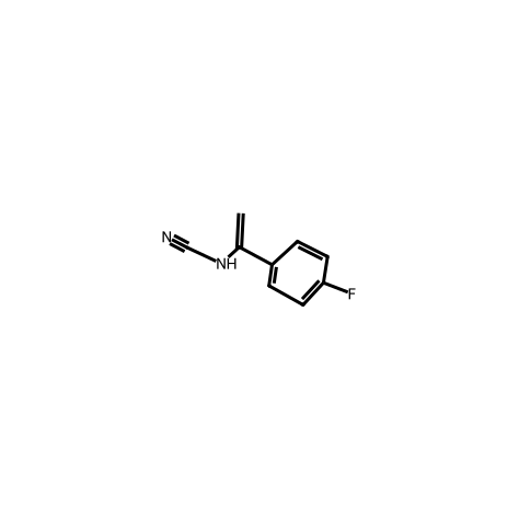 C=C(NC#N)c1ccc(F)cc1